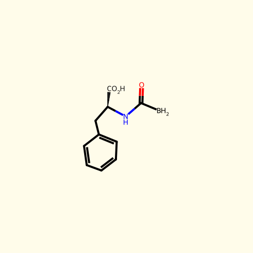 BC(=O)N[C@@H](Cc1ccccc1)C(=O)O